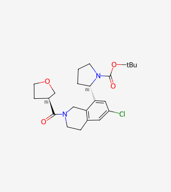 CC(C)(C)OC(=O)N1CCC[C@H]1c1cc(Cl)cc2c1CN(C(=O)[C@H]1CCOC1)CC2